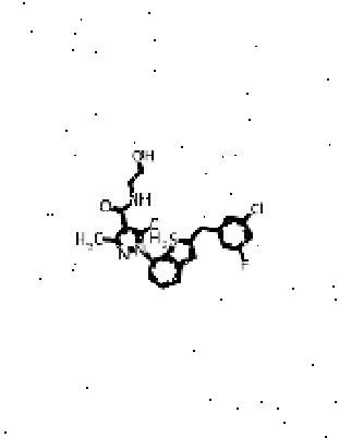 Cc1nn(-c2cccc3cc(Cc4cc(F)cc(Cl)c4)sc23)c(C)c1C(=O)NCCO